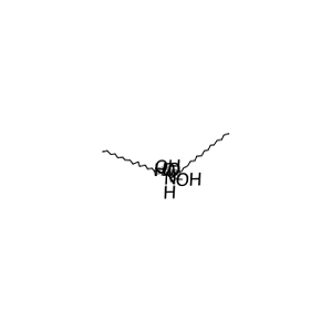 CCCCCCCCCCCCCCC[C@H](O)CC(=O)N[C@@H](CO)[C@H](O)CCCCCCCCCCCCCCC